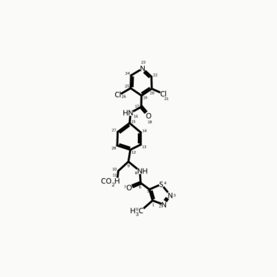 Cc1nnsc1C(=O)NC(CC(=O)O)c1ccc(NC(=O)c2c(Cl)cncc2Cl)cc1